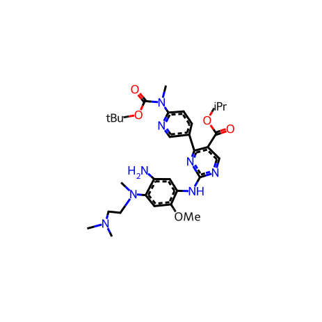 COc1cc(N(C)CCN(C)C)c(N)cc1Nc1ncc(C(=O)OC(C)C)c(-c2ccc(N(C)C(=O)OC(C)(C)C)nc2)n1